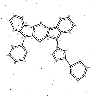 c1ccc(-c2ncc(-n3c4ccccc4c4cc5c6ccccc6n(-c6ccccn6)c5cc43)s2)cc1